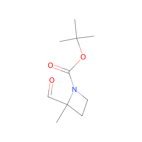 CC(C)(C)OC(=O)N1CCC1(C)C=O